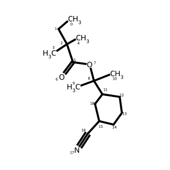 CCC(C)(C)C(=O)OC(C)(C)C1CCCC(C#N)C1